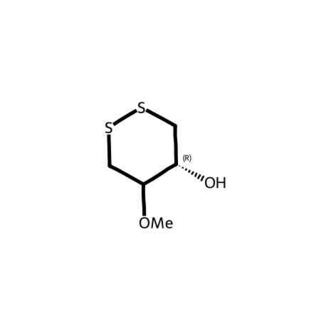 COC1CSSC[C@@H]1O